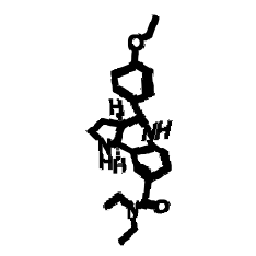 CCOc1ccc(C2Nc3ccc(C(=O)N(CC)CC)cc3[C@H]3NCC[C@@H]23)cc1